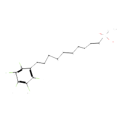 CO[Si](O)(O)CCCCCCCCCCc1c(F)c(F)c(F)c(F)c1F